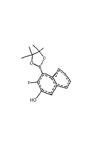 CC1(C)OB(c2c(F)c(O)cc3ccccc23)OC1(C)C